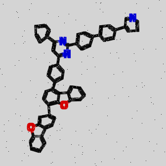 c1ccc(-c2cc(-c3ccc(-c4ccc(-c5ccc6c(c5)oc5ccccc56)c5oc6ccccc6c45)cc3)nc(-c3ccc(-c4ccc(-c5cccnc5)cc4)cc3)n2)cc1